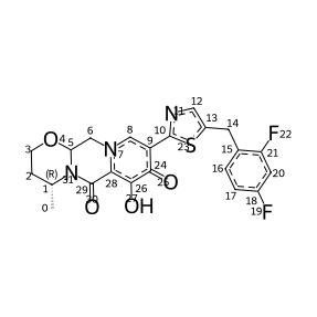 C[C@@H]1CCOC2Cn3cc(-c4ncc(Cc5ccc(F)cc5F)s4)c(=O)c(O)c3C(=O)N21